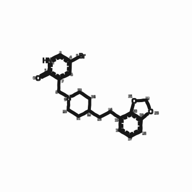 O=c1[nH]cc(Br)cc1CN1CCC(CCc2cccc3c2OCO3)CC1